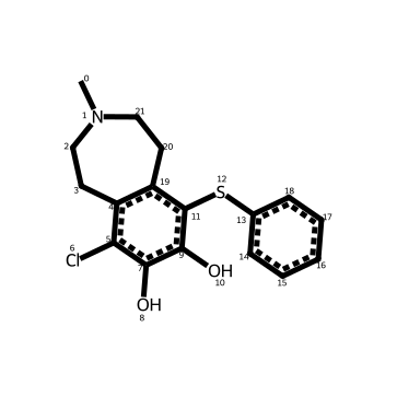 CN1CCc2c(Cl)c(O)c(O)c(Sc3ccccc3)c2CC1